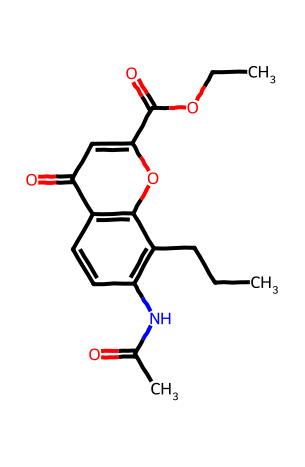 CCCc1c(NC(C)=O)ccc2c(=O)cc(C(=O)OCC)oc12